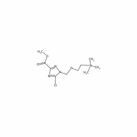 COC(=O)c1nc(Cl)n(COCC[Si](C)(C)C)n1